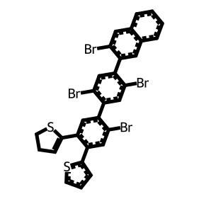 Brc1cc(-c2cc3ccccc3cc2Br)c(Br)cc1-c1cc(C2=CCCS2)c(-c2cccs2)cc1Br